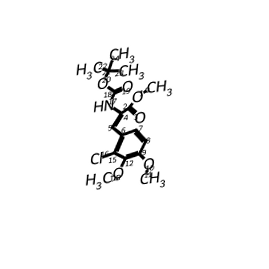 COC(=O)/C(=C\c1ccc(OC)c(OC)c1Cl)NC(=O)OC(C)(C)C